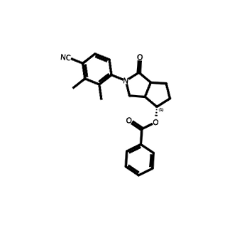 Cc1c(C#N)ccc(N2CC3C(CC[C@@H]3OC(=O)c3ccccc3)C2=O)c1C